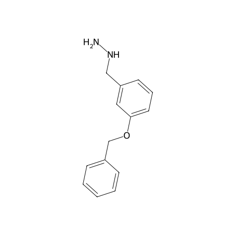 NNCc1cccc(OCc2ccccc2)c1